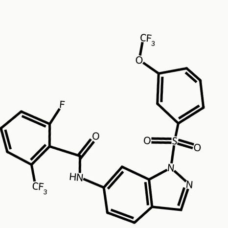 O=C(Nc1ccc2cnn(S(=O)(=O)c3cccc(OC(F)(F)F)c3)c2c1)c1c(F)cccc1C(F)(F)F